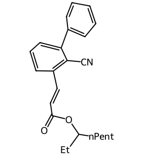 CCCCCC(CC)OC(=O)C=Cc1cccc(-c2ccccc2)c1C#N